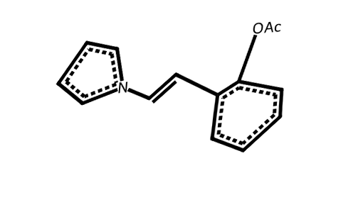 CC(=O)Oc1ccccc1/C=C/n1cccc1